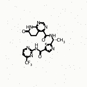 C[C@@H](NC(=O)c1ncnc2c1CCC(=O)N2)c1ncc(C(=O)Nc2nccc(C(F)(F)F)n2)s1